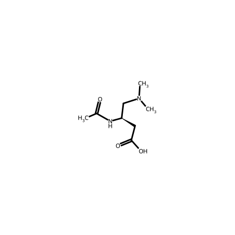 CC(=O)N[C@H](CC(=O)O)CN(C)C